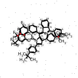 Cc1ccc(C2=N/C(=C(/c3ccccc3)c3c(-c4ccc(C(C)(C)C)cc4)cc(-c4ccc(C(C)(C)C)cc4)n3B(Oc3cc(F)cc(C(F)(F)F)c3)Oc3cc(F)cc(C(F)(F)F)c3)c3ccccc32)cc1